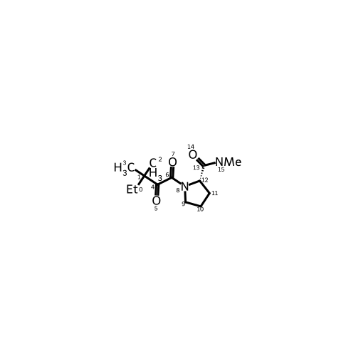 CCC(C)(C)C(=O)C(=O)N1CCC[C@H]1C(=O)NC